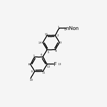 CCCCCCCCCCc1ccc(-c2ccc(C)cc2F)cc1